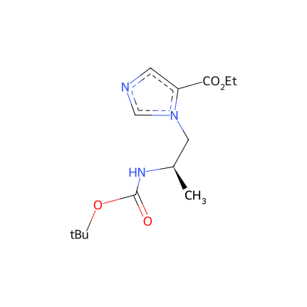 CCOC(=O)c1cncn1C[C@@H](C)NC(=O)OC(C)(C)C